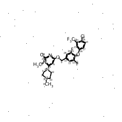 CN1CCN(c2cc(OCc3cc(F)c(Oc4ccc(Cl)c(C(F)(F)F)c4)c(F)c3)nc(=O)n2C)CC1